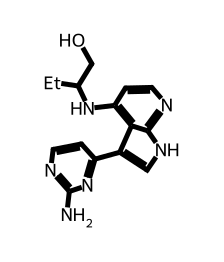 CCC(CO)Nc1ccnc2[nH]cc(-c3ccnc(N)n3)c12